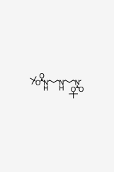 CN(CCCNCCCNC(=O)OC(C)(C)C)C(=O)OC(C)(C)C